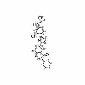 O=C(NC1CCCCC1)c1cc(-c2nc(-c3ccc(NSC(F)(F)F)cc3Cl)cs2)ccc1F